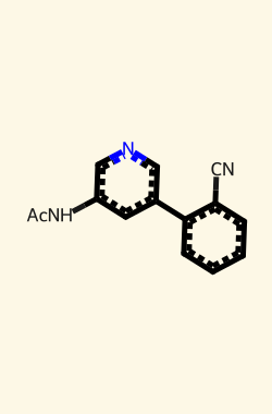 CC(=O)Nc1cncc(-c2ccccc2C#N)c1